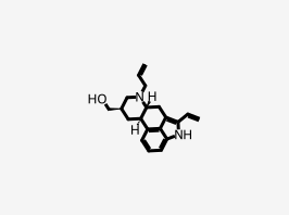 C=CCN1C[C@H](CO)C[C@@H]2c3cccc4[nH]c(C=C)c(c34)C[C@H]21